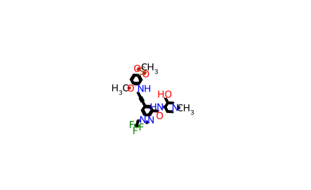 COc1ccc(S(C)(=O)=O)cc1NCC#Cc1cc(C(=O)NC2CCN(C)CC2CO)c2ncn(CC(F)(F)F)c2c1